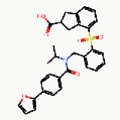 CC(C)N(Cc1ccccc1S(=O)(=O)c1cccc2c1CC(C(=O)O)C2)C(=O)c1ccc(-c2ccco2)cc1